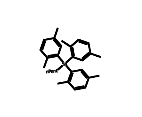 CCCC[CH2][Sn]([c]1cc(C)ccc1C)([c]1cc(C)ccc1C)[c]1cc(C)ccc1C